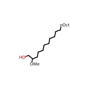 CCCCCCCCCCCCCCCCCC(CO)OC